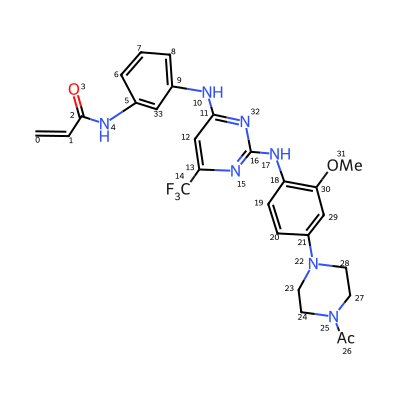 C=CC(=O)Nc1cccc(Nc2cc(C(F)(F)F)nc(Nc3ccc(N4CCN(C(C)=O)CC4)cc3OC)n2)c1